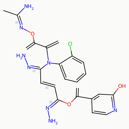 C=C(O/N=C(/C)N)C(=C)N(C(/C=C/C(=N/N)OC(=C)c1ccnc(O)c1)=N\N)c1ccccc1Cl